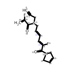 C#CCN(C/C=C/C=C(\F)C(=O)N1CC=CC1)C(=O)C(=C)F